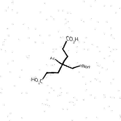 CCCCCCCCCCC(CCC(=O)O)(CCC(=O)O)C(C)=O